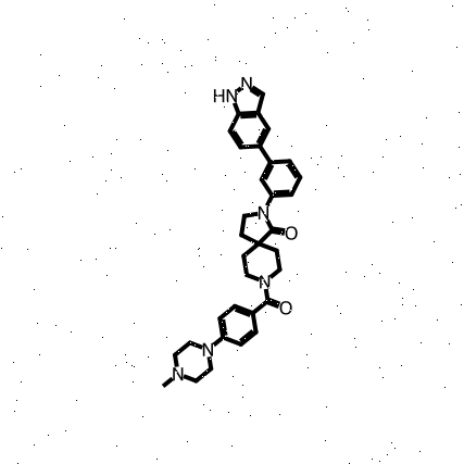 CN1CCN(c2ccc(C(=O)N3CCC4(CC3)CCN(c3cccc(-c5ccc6[nH]ncc6c5)c3)C4=O)cc2)CC1